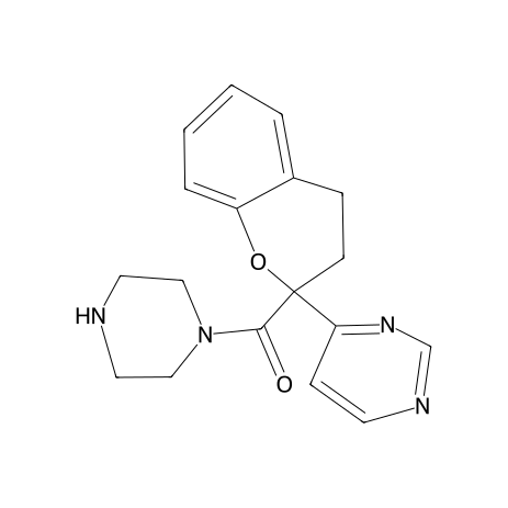 O=C(N1CCNCC1)C1(c2ccncn2)CCc2ccccc2O1